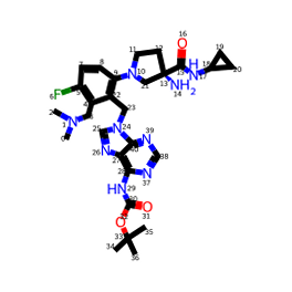 CN(C)Cc1c(F)ccc(N2CC[C@](N)(C(=O)NC3CC3)C2)c1Cn1cnc2c(NC(=O)OC(C)(C)C)ncnc21